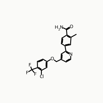 Cc1cc(-c2cc(COc3ccc(C(F)(F)F)c(Cl)c3)ccn2)ccc1C(N)=O